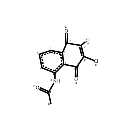 CC(=O)Nc1cccc2c1C(=O)C(Cl)=C(Cl)C2=O